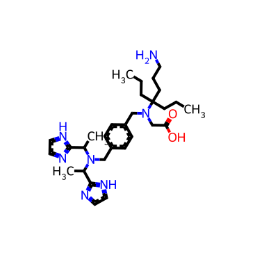 CCCC(CCC)(CCCN)N(CC(=O)O)Cc1ccc(CN(C(C)c2ncc[nH]2)C(C)c2ncc[nH]2)cc1